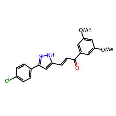 COc1cc(OC)cc(C(=O)C=Cc2cc(-c3ccc(Cl)cc3)n[nH]2)c1